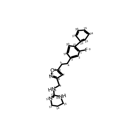 Fc1cc(CCc2cc(CNC3=NCCCN3)no2)ccc1-c1ccccc1